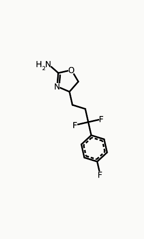 NC1=NC(CCC(F)(F)c2ccc(F)cc2)CO1